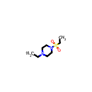 [CH2]CN1CCN(S(=O)(=O)CC)CC1